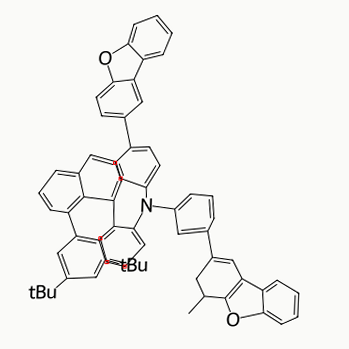 CC1CC(c2cccc(N(c3ccc(-c4ccc5oc6ccccc6c5c4)cc3)c3ccccc3-c3cccc4cccc(-c5cc(C(C)(C)C)cc(C(C)(C)C)c5)c34)c2)=Cc2c1oc1ccccc21